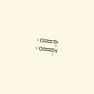 [O]=[Dy].[O]=[Th]